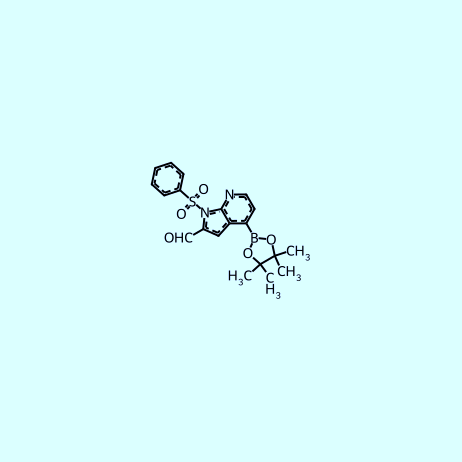 CC1(C)OB(c2ccnc3c2cc(C=O)n3S(=O)(=O)c2ccccc2)OC1(C)C